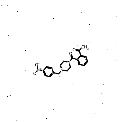 CC(=O)c1ccccc1C(=O)N1CCN(Cc2ccc([N+](=O)[O-])cc2)CC1